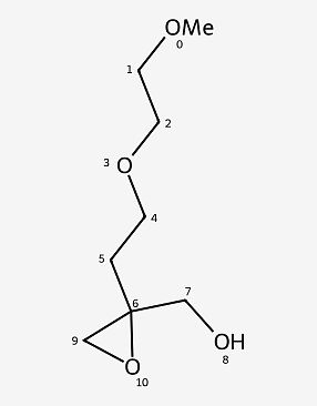 COCCOCCC1(CO)CO1